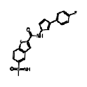 CS(=N)(=O)c1ccc2sc(C(=O)NC3C=CC(c4ccc(F)cc4)=C3)cc2c1